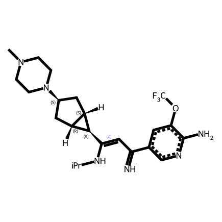 CC(C)N/C(=C\C(=N)c1cnc(N)c(OC(F)(F)F)c1)[C@H]1[C@@H]2C[C@@H](N3CCN(C)CC3)C[C@@H]21